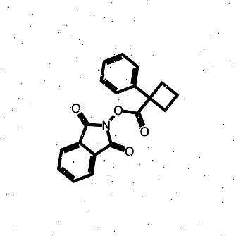 O=C1c2ccccc2C(=O)N1OC(=O)C1(c2ccccc2)CCC1